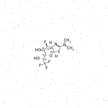 CN(C)C1=N[C@@H]2[C@H](F)[C@H](O)[C@@H]([C@@H](O)C(F)(F)F)O[C@@H]2S1